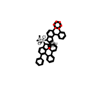 C[SiH](C)[Zr]([Cl])([Cl])([CH]1C(C(C)(C)C)=Cc2c1ccc(-c1ccccc1)c2-c1ccccc1-c1ccccc1)[CH]1C(C(C)(C)C)=Cc2c1ccc(-c1ccccc1)c2-c1ccccc1-c1ccccc1